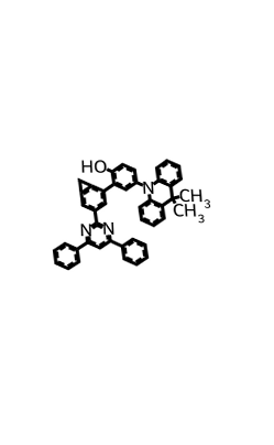 CC1(C)c2ccccc2N(c2ccc(O)c(-c3cc(-c4nc(-c5ccccc5)cc(-c5ccccc5)n4)cc4c3C4)c2)c2ccccc21